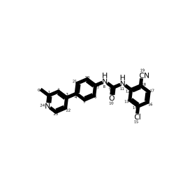 Cc1cc(-c2ccc(NC(=O)Nc3cc(Cl)ccc3C#N)cc2)ccn1